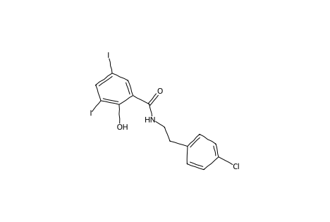 O=C(NCCc1ccc(Cl)cc1)c1cc(I)cc(I)c1O